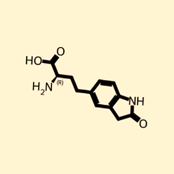 N[C@H](CCc1ccc2c(c1)CC(=O)N2)C(=O)O